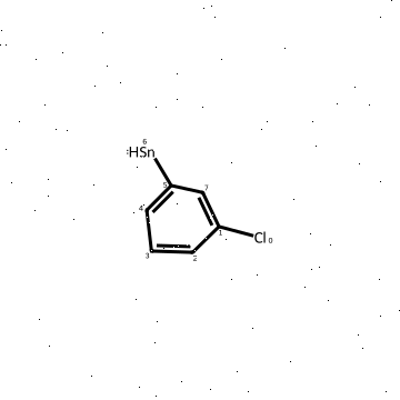 Clc1ccc[c]([SnH])c1